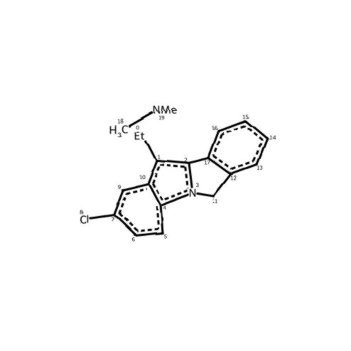 CCc1c2n(c3ccc(Cl)cc13)Cc1ccccc1-2.CNC